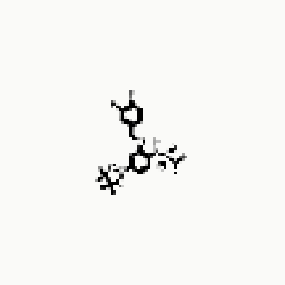 CC1(C)OB(c2ccc(NS(=O)(=O)C(F)F)c(OCc3ccc(F)c(F)c3)c2)OC1(C)C